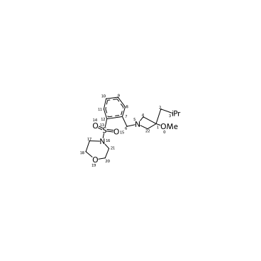 COC1(CC(C)C)CN(Cc2ccccc2S(=O)(=O)N2CCOCC2)C1